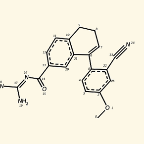 COc1ccc(C2=CCCc3ccc(C(=O)N=C(N)N)cc32)c(C#N)c1